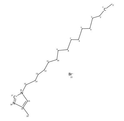 CCCCCCCCCCCCCCCCN1[C+]=NC(C)=C1.[Br-]